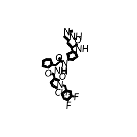 Cc1ccc(C(=O)N[C@@H](C(=O)Nc2ccc3c(c2)/C(=C/c2cnc[nH]2)C(=O)N3)c2ccccc2)c(=O)n1Cc1ccc(F)c(F)c1